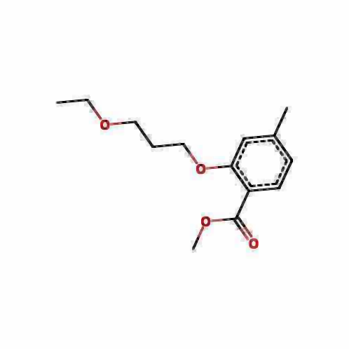 CCOCCCOc1cc(C)ccc1C(=O)OC